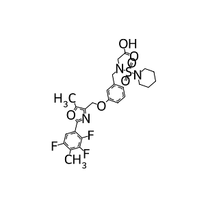 Cc1oc(-c2cc(F)c(C)c(F)c2F)nc1COc1cccc(CN(CC(=O)O)S(=O)(=O)N2CCCCC2)c1